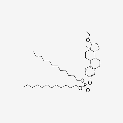 CCCCCCCCCCCCOP(=O)(OCCCCCCCCCCCC)Oc1ccc2c(c1)CCC1C2CCC2(C)C(OCC)CCC12